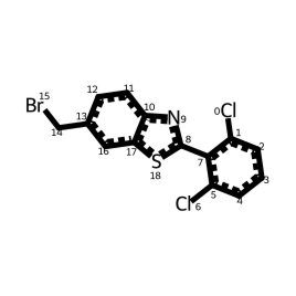 Clc1cccc(Cl)c1-c1nc2ccc(CBr)cc2s1